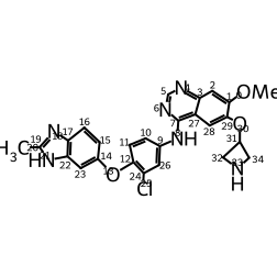 COc1cc2ncnc(Nc3ccc(Oc4ccc5nc(C)[nH]c5c4)c(Cl)c3)c2cc1OC1CNC1